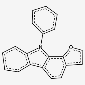 c1ccc(-n2c3ccccc3c3ccc4ccoc4c32)cc1